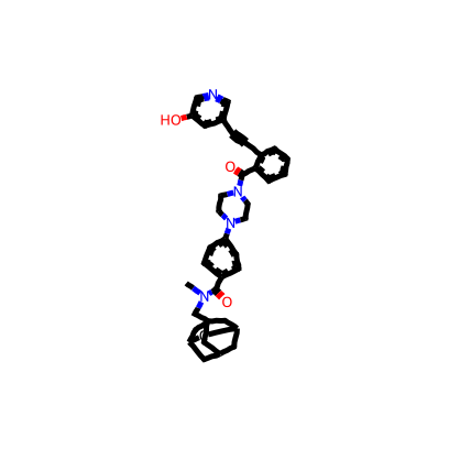 CN(CC12CC3CC(CC(C3)C1)C2)C(=O)c1ccc(N2CCN(C(=O)c3ccccc3C#Cc3cncc(O)c3)CC2)cc1